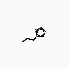 CCCn1cn[c]n1